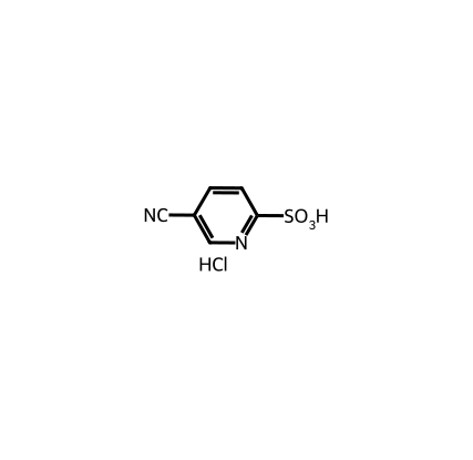 Cl.N#Cc1ccc(S(=O)(=O)O)nc1